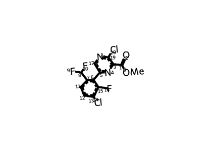 COC(=O)c1nc(-c2c(C(F)F)ccc(Cl)c2F)cnc1Cl